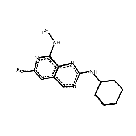 CC(=O)c1cc2cnc(NC3CCCCC3)nc2c(NC(C)C)n1